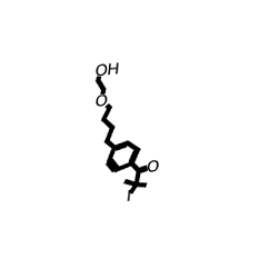 CC(C)(I)C(=O)c1c#cc(CCCCOCCO)cc1